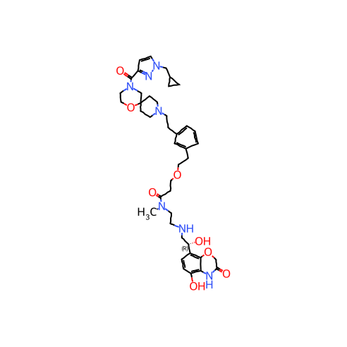 CN(CCNC[C@H](O)c1ccc(O)c2c1OCC(=O)N2)C(=O)CCOCCc1cccc(CCN2CCC3(CC2)CN(C(=O)c2ccn(CC4CC4)n2)CCO3)c1